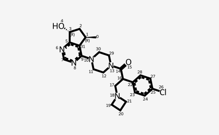 C[C@@H]1C[C@@H](O)c2ncnc(N3CCN(C(=O)C(CN4CCC4)c4ccc(Cl)cc4)CC3)c21